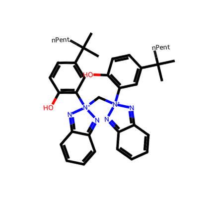 CCCCCC(C)(C)c1ccc(O)c([N+]2(C[N+]3(c4cc(C(C)(C)CCCCC)ccc4O)N=c4ccccc4=N3)N=c3ccccc3=N2)c1